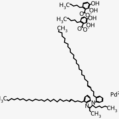 CCCCCCCCCCCCCCCCCCCCCC=CCCCc1ccccc1N=C(CC)C(CCCCC)=Nc1ccccc1CCCC=CCCCCCCCCCCCCCCCCCCCCC.CCCCCc1ccc(O)c(O)c1C(=O)[O-].CCCCCc1ccc(O)c(O)c1C(=O)[O-].[Pd+2]